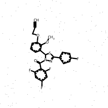 C#CCOc1cccc(C2SC(c3ccc(F)cc3)=NN2C(=O)c2c(F)cc(F)cc2F)c1OC